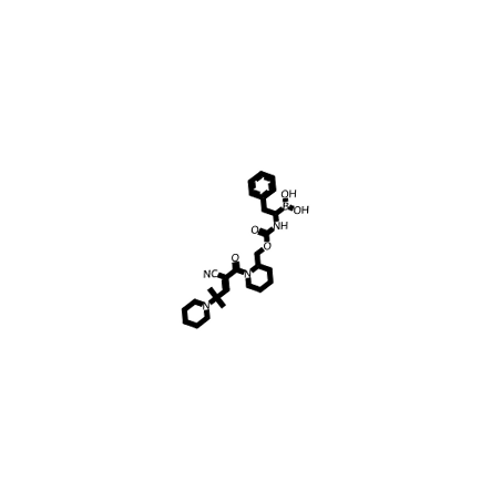 CC(C)(C=C(C#N)C(=O)N1CCCCC1COC(=O)NC(Cc1ccccc1)B(O)O)N1CCCCC1